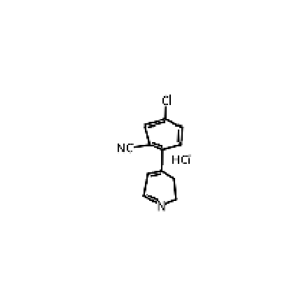 Cl.N#Cc1cc(Cl)ccc1C1=CC=NCC1